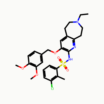 CCN1CCc2cc(OCc3ccc(OC)c(OC)c3)c(NS(=O)(=O)c3cccc(Cl)c3C)nc2CC1